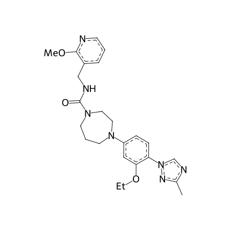 CCOc1cc(N2CCCN(C(=O)NCc3cccnc3OC)CC2)ccc1-n1cnc(C)n1